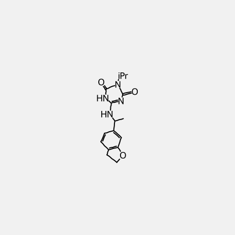 CC(Nc1nc(=O)n(C(C)C)c(=O)[nH]1)c1ccc2c(c1)OCC2